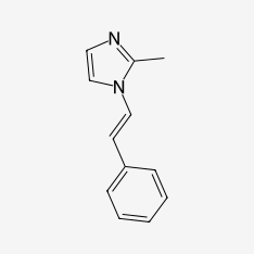 Cc1nccn1C=Cc1ccccc1